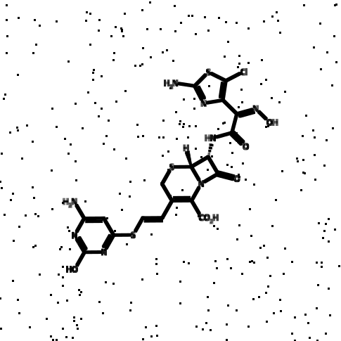 Nc1cc(S/C=C/C2=C(C(=O)O)N3C(=O)[C@@H](NC(=O)/C(=N\O)c4nc(N)sc4Cl)[C@H]3SC2)nc(O)n1